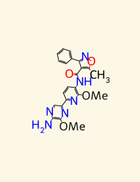 COc1nc(-c2cnc(N)c(OC)n2)ccc1NC(=O)c1c(-c2ccccc2)noc1C